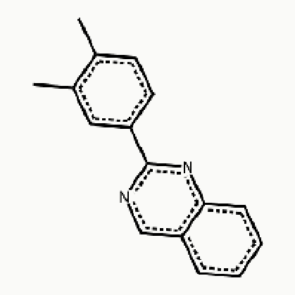 Cc1ccc(-c2ncc3ccccc3n2)cc1C